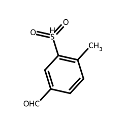 Cc1ccc(C=O)cc1[SH](=O)=O